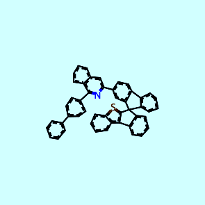 c1ccc(-c2ccc(-c3nc(-c4ccc5c(c4)C4(c6ccccc6-5)c5ccccc5-c5c4sc4ccccc54)cc4ccccc34)cc2)cc1